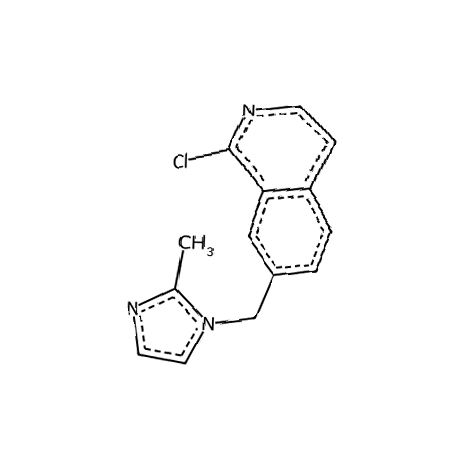 Cc1nccn1Cc1ccc2ccnc(Cl)c2c1